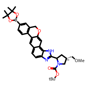 COC[C@H]1CC(c2nc3ccc4cc5c(cc4c3[nH]2)OCc2cc(B3OC(C)(C)C(C)(C)O3)ccc2-5)N(C(=O)OC(C)(C)C)C1